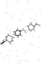 CC[C@H]1CC[C@H](CCc2ccc([C@H]3CC[C@H](C#N)CC3)cc2)CC1